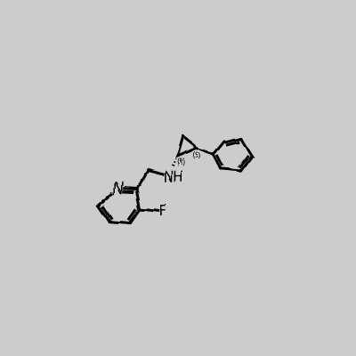 Fc1cccnc1CN[C@@H]1C[C@H]1c1ccccc1